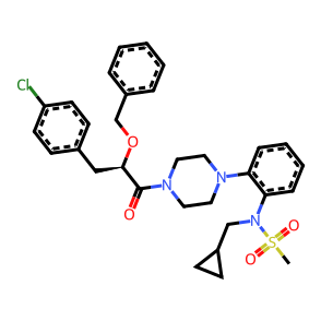 CS(=O)(=O)N(CC1CC1)c1ccccc1N1CCN(C(=O)[C@@H](Cc2ccc(Cl)cc2)OCc2ccccc2)CC1